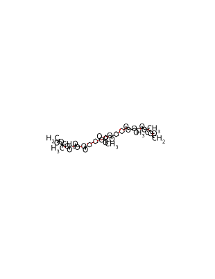 C=CC(=O)OCC(C)(C)COC(=O)CCC(=O)OCCOC(=O)C1CCC(C2CCC(C(=O)Oc3ccc(OC(=O)C4CCC(C5CCC(C(=O)OCCOC(=O)CCC(=O)OCC(C)(C)COC(=O)C=C)CC5)CC4)c(OC)c3)CC2)CC1